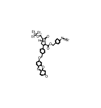 CC[Si](CC)(CC)O[C@H](C)[C@H]1C(=O)N2C(C(=O)OCc3ccc(N=[N+]=[N-])cc3)=C(c3ccc(COc4ccc5nc6ccc(=O)cc-6oc5c4)cc3)C[C@H]12